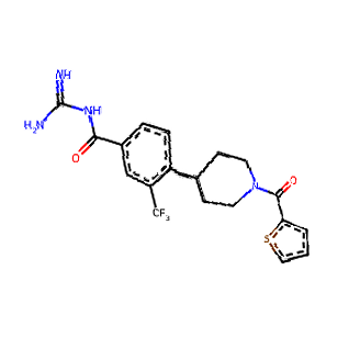 N=C(N)NC(=O)c1ccc(C2CCN(C(=O)c3cccs3)CC2)c(C(F)(F)F)c1